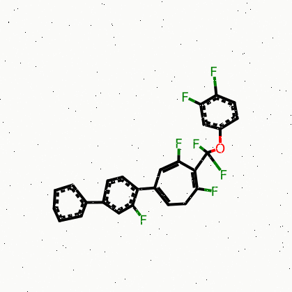 FC1=CC(c2ccc(-c3ccccc3)cc2F)=CCC(F)=C1C(F)(F)Oc1ccc(F)c(F)c1